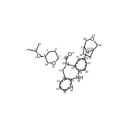 CC(C)O[C@H]1CC[C@H](C(=O)N2Cc3cccnc3Nc3ccc(N4C5CCC4COC5)cc32)OC1